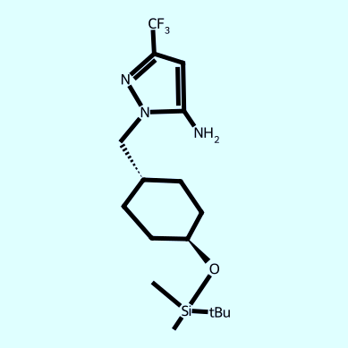 CC(C)(C)[Si](C)(C)O[C@H]1CC[C@H](Cn2nc(C(F)(F)F)cc2N)CC1